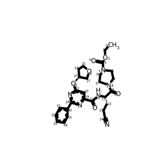 CCOC(=O)N1CCN(C(=O)[C@H](CCC#N)NC(=O)c2cc(O[C@H]3CCOC3)nc(-c3ccccc3)n2)CC1